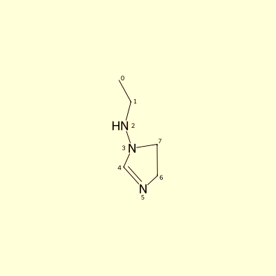 CCNN1C=NCC1